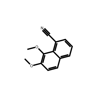 COc1ccc2cccc(C#N)c2c1OC